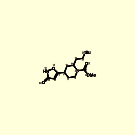 COC(=O)N1CCC(c2cc(=O)[nH]o2)CC1CCC(C)(C)C